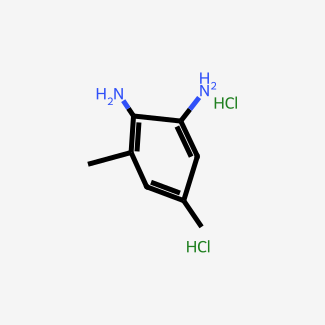 Cc1cc(C)c(N)c(N)c1.Cl.Cl